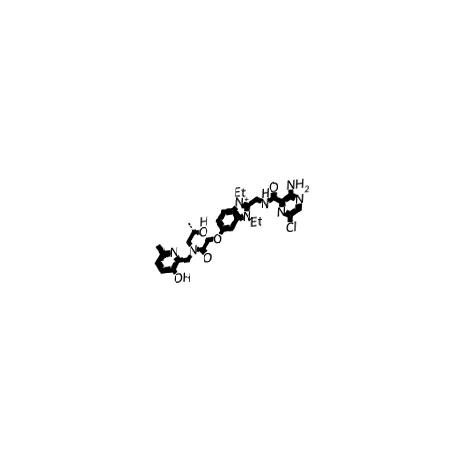 CCn1c(CNC(=O)c2nc(Cl)cnc2N)[n+](CC)c2ccc(OCC(=O)N(Cc3nc(C)ccc3O)C[C@H](C)O)cc21